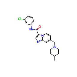 CC1CCN(Cc2ccn3c(C(=O)Nc4cccc(Cl)c4)cnc3c2)CC1